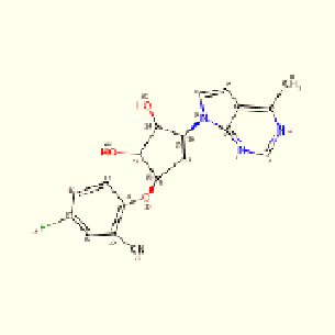 Cc1ncnc2c1ccn2[C@H]1C[C@@H](Oc2ccc(F)cc2C#N)C(O)C1O